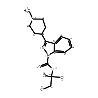 CN1CCC(c2nn(C(=O)OC(Cl)(Cl)CCl)c3ccccc23)CC1